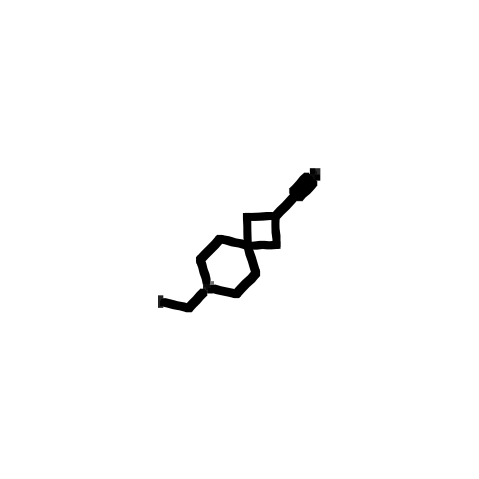 N#CC1CC2(CCN(CI)CC2)C1